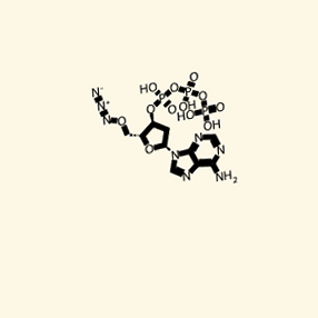 [N-]=[N+]=NOC[C@H]1O[C@@H](n2cnc3c(N)ncnc32)C[C@@H]1OP(=O)(O)OP(=O)(O)OP(=O)(O)O